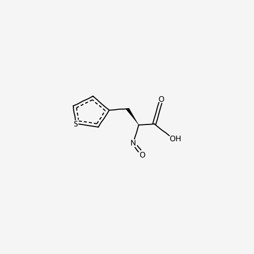 O=N[C@@H](Cc1ccsc1)C(=O)O